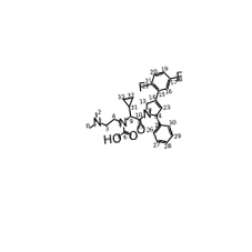 CN(C)CCN(C(=O)O)[C@H](C(=O)N1CC(c2cc(F)ccc2F)=C[C@H]1c1ccccc1)C1CC1